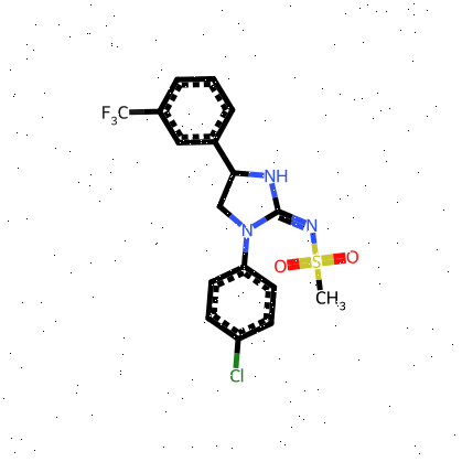 CS(=O)(=O)N=C1NC(c2cccc(C(F)(F)F)c2)CN1c1ccc(Cl)cc1